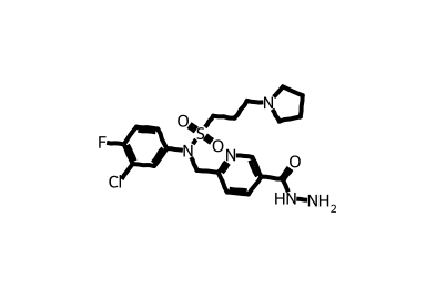 NNC(=O)c1ccc(CN(c2ccc(F)c(Cl)c2)S(=O)(=O)CCCN2CCCC2)nc1